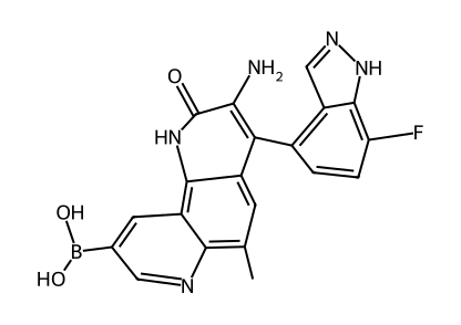 Cc1cc2c(-c3ccc(F)c4[nH]ncc34)c(N)c(=O)[nH]c2c2cc(B(O)O)cnc12